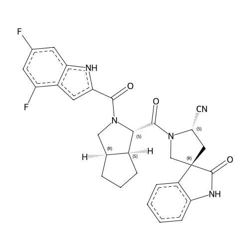 N#C[C@@H]1C[C@@]2(CN1C(=O)[C@@H]1[C@H]3CCC[C@H]3CN1C(=O)c1cc3c(F)cc(F)cc3[nH]1)C(=O)Nc1ccccc12